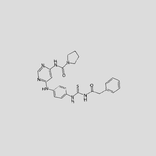 O=C(Cc1ccccc1)NC(=S)Nc1ccc(Nc2cc(NC(=O)N3CCCC3)ncn2)cc1